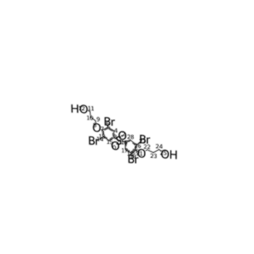 O=S(=O)(c1cc(Br)c(OCCCO)c(Br)c1)c1cc(Br)c(OCCCO)c(Br)c1